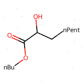 CCCCCCC(O)C(=O)OCCCC